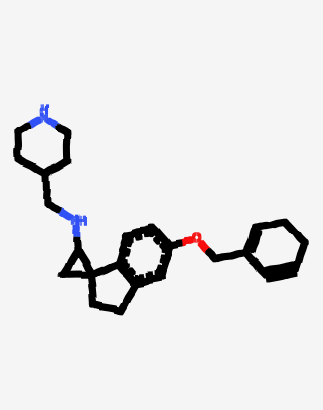 C1#CC(COc2ccc3c(c2)CCC32CC2NCC2CCNCC2)=CCC1